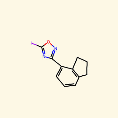 Ic1nc(-c2cccc3c2CCC3)no1